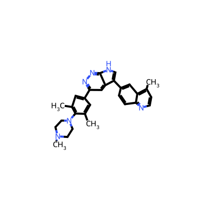 Cc1cc(-c2cc3c(-c4ccc5nccc(C)c5c4)c[nH]c3nn2)cc(C)c1N1CCN(C)CC1